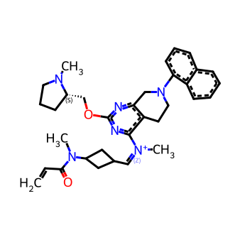 C=CC(=O)N(C)C1CC(/C=[N+](/C)c2nc(OC[C@@H]3CCCN3C)nc3c2CCN(c2cccc4ccccc24)C3)C1